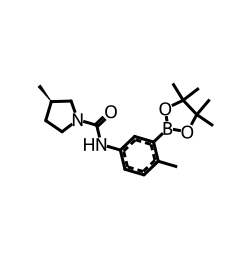 Cc1ccc(NC(=O)N2CC[C@@H](C)C2)cc1B1OC(C)(C)C(C)(C)O1